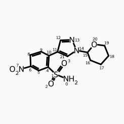 NS(=O)(=O)c1cc([N+](=O)[O-])ccc1-c1cnn(C2CCCCO2)c1